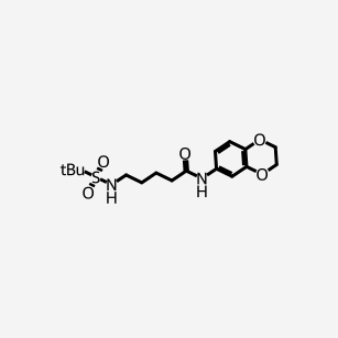 CC(C)(C)S(=O)(=O)NCCCCC(=O)Nc1ccc2c(c1)OCCO2